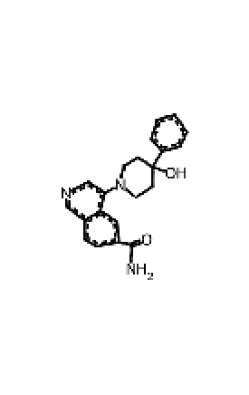 NC(=O)c1ccc2cncc(N3CCC(O)(c4ccccc4)CC3)c2c1